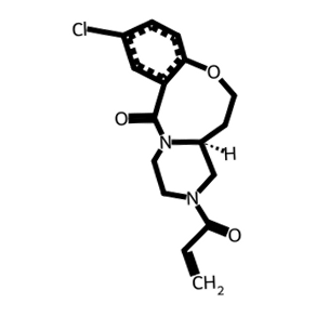 C=CC(=O)N1CCN2C(=O)c3cc(Cl)ccc3OCC[C@H]2C1